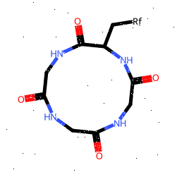 O=C1CNC(=O)CNC(=O)C([CH2][Rf])NC(=O)CN1